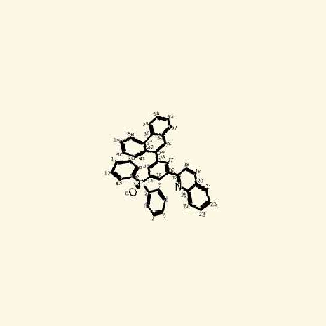 O=P(c1ccccc1)(c1ccccc1)c1cc(-c2ccc3ccccc3n2)cc(-c2cc3ccccc3c3ccccc23)c1